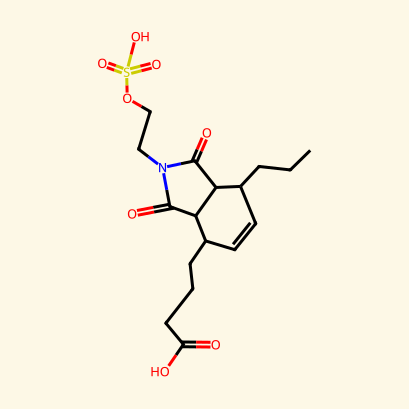 CCCC1C=CC(CCCC(=O)O)C2C(=O)N(CCOS(=O)(=O)O)C(=O)C12